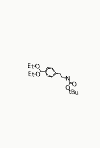 CCOC(OCC)c1ccc(CC=NC(=O)OC(C)(C)C)cc1